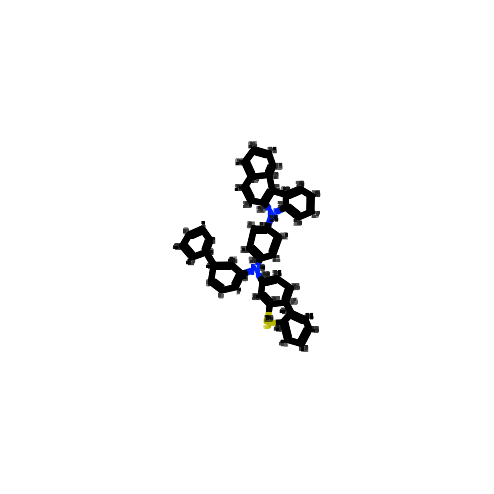 c1ccc(-c2cccc(N(c3ccc(-n4c5ccccc5c5c6ccccc6ccc54)cc3)c3ccc4c(c3)sc3ccccc34)c2)cc1